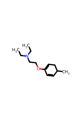 CCN(CC)CCOC1=CCC(C)C=C1